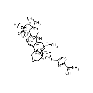 CO[C@@H]1C[C@]23COC[C@@](C)([C@@H]2CC[C@H]2C3=CC[C@@]3(C)[C@H](C(=O)O)[C@@](C)([C@H](C)C(C)C)CC[C@]23C)[C@H]1OCc1csc([C@H](C)N)n1